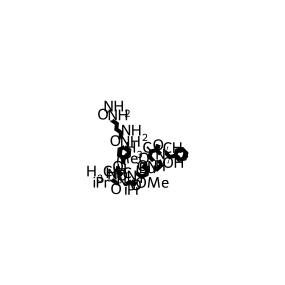 CC[C@H](C)[C@@H]([C@@H](CC(=O)N1CCC[C@H]1[C@H](OC)[C@@H](C)C(=O)N[C@H](C)[C@@H](O)c1ccccc1)OC)N(C)C(=O)[C@@H](NC(=O)[C@H](C(C)C)N(C)C(=O)OCc1ccc(NC(=O)[C@@H](N)CCCNC(N)=O)cc1)C(C)C